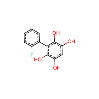 Oc1cc(O)c(O)c(-c2ccccc2F)c1O